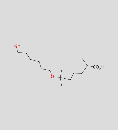 CC(CCCC(C)(C)OCCCCCCO)C(=O)O